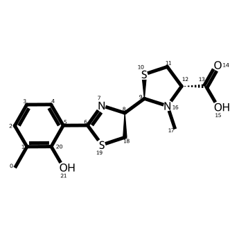 Cc1cccc(C2=N[C@@H]([C@H]3SC[C@H](C(=O)O)N3C)CS2)c1O